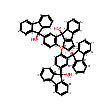 OC1(c2cc(C3(O)c4ccccc4-c4ccccc43)ccc2Oc2ccc(C3(O)c4ccccc4-c4ccccc43)cc2C2(O)c3ccccc3-c3ccccc32)C2=C(C=CC2)c2ccccc21